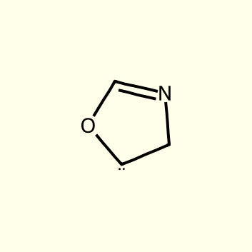 [C]1CN=CO1